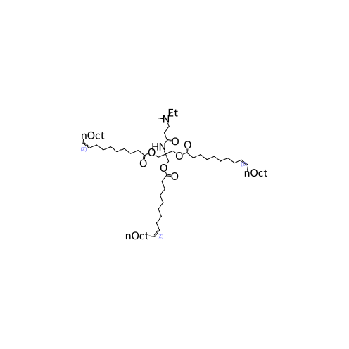 CCCCCCCC/C=C\CCCCCCCC(=O)OCC(COC(=O)CCCCCCC/C=C\CCCCCCCC)(COC(=O)CCCCCCC/C=C\CCCCCCCC)NC(=O)CCN(C)CC